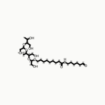 CC(O)C(CO)OC(CO)OC(C)C(CO)OC(CO)OCCCCCCCCC(=O)NCCCCCC=O